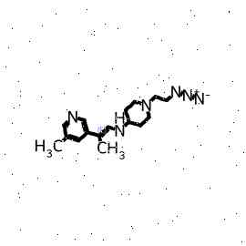 C/C(=C\NC1CCN(CCN=[N+]=[N-])CC1)c1cncc(C)c1